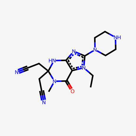 CCn1c(N2CCNCC2)nc2c1C(=O)N(C)C(CC#N)(CC#N)N2